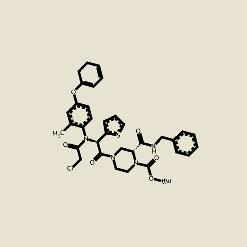 Cc1cc(OC2=CC=CCC2)ccc1N(C(=O)CCl)[C@H](C(=O)N1CCN(C(=O)OC(C)(C)C)[C@@H](C(=O)NCc2ccccc2)C1)c1cccs1